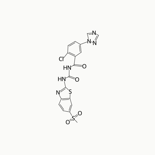 CS(=O)(=O)c1ccc2nc(NC(=O)NC(=O)c3cc(-n4cncn4)ccc3Cl)sc2c1